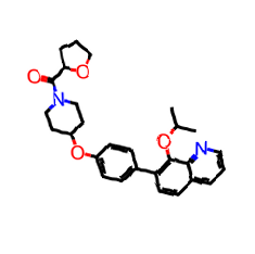 CC(C)Oc1c(-c2ccc(OC3CCN(C(=O)C4CCCO4)CC3)cc2)ccc2cccnc12